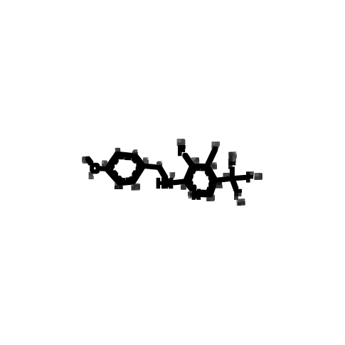 COc1ccc(CNc2ncc(C(F)(F)F)c(C)c2F)cc1